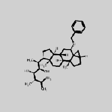 CC(C)[C@H](C)[C@@H](O)[C@H](O)[C@@H](C)[C@H]1CC[C@H]2[C@@H]3C[C@@H](OCc4ccccc4)[C@]45C[C@@H]4CC[C@]5(C)[C@H]3CC[C@]12C